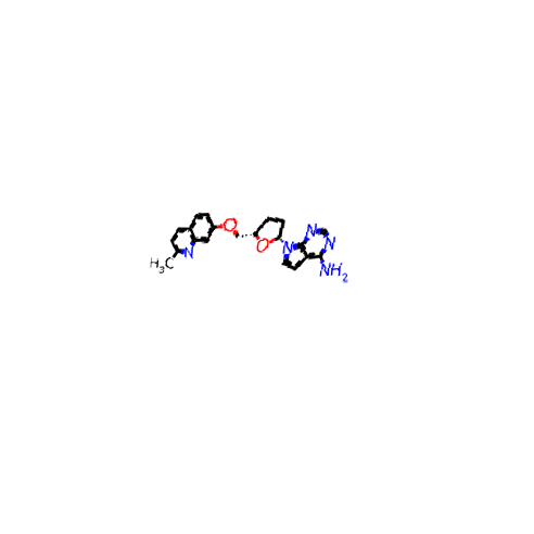 Cc1ccc2ccc(OC[C@@H]3CC[C@H](n4ccc5c(N)ncnc54)O3)cc2n1